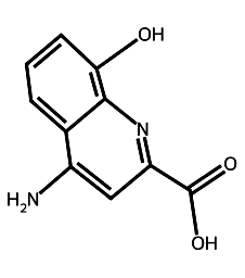 Nc1cc(C(=O)O)nc2c(O)cccc12